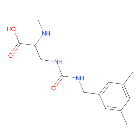 CNC(CNC(=O)NCc1cc(C)cc(C)c1)C(=O)O